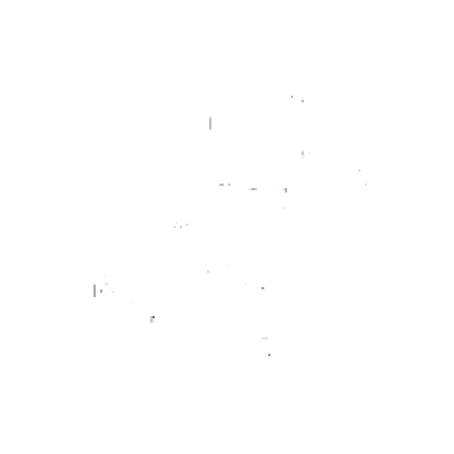 C=C(C)c1cc(F)c(CO)cc1F